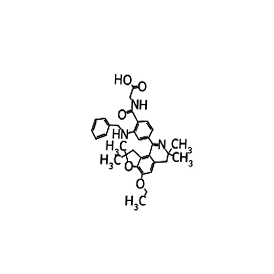 CCOc1cc2c(c3c1OC(C)(C)C3)C(c1ccc(C(=O)NCC(=O)O)c(NCc3ccccc3)c1)=NC(C)(C)C2